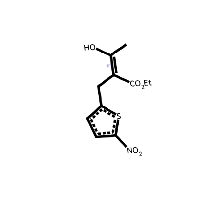 CCOC(=O)/C(Cc1ccc([N+](=O)[O-])s1)=C(\C)O